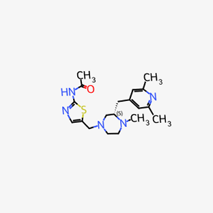 CC(=O)Nc1ncc(CN2CCN(C)[C@@H](Cc3cc(C)nc(C)c3)C2)s1